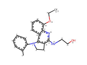 Cc1ccccc1N1CCc2c(NCCO)nc3c(OCC(F)(F)F)cccc3c21